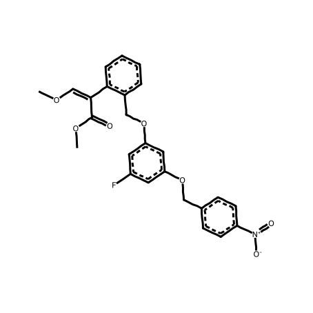 COC=C(C(=O)OC)c1ccccc1COc1cc(F)cc(OCc2ccc([N+](=O)[O-])cc2)c1